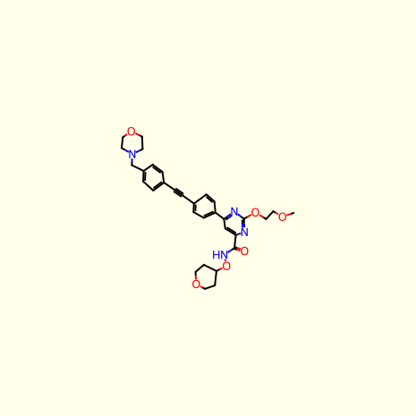 COCCOc1nc(C(=O)NOC2CCOCC2)cc(-c2ccc(C#Cc3ccc(CN4CCOCC4)cc3)cc2)n1